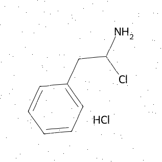 Cl.NC(Cl)Cc1ccccc1